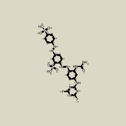 NC(=O)Nc1cc(Nc2nc(F)nc(F)n2)ccc1N=Nc1ccc(N=Nc2ccc(S(=O)(=O)O)cc2)cc1S(=O)(=O)O